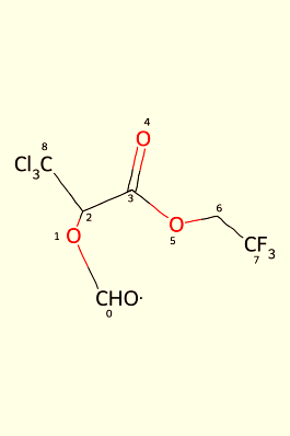 O=[C]OC(C(=O)OCC(F)(F)F)C(Cl)(Cl)Cl